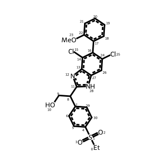 CCS(=O)(=O)c1ccc(C(CO)c2nc3c(Cl)c(-c4ccccc4OC)c(Cl)cc3[nH]2)cc1